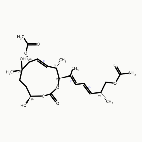 CC(=O)O[C@@H]1/C=C/[C@H](C)[C@@H](/C(C)=C/C=C/[C@@H](C)COC(N)=O)OC(=O)C[C@@H](O)CC[C@]1(C)O